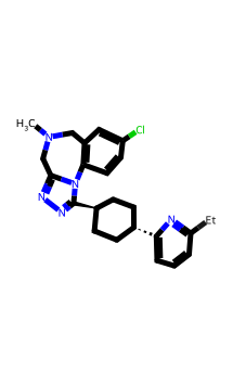 CCc1cccc([C@H]2CC[C@H](c3nnc4n3-c3ccc(Cl)cc3CN(C)C4)CC2)n1